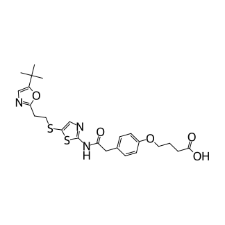 CC(C)(C)c1cnc(CCSc2cnc(NC(=O)Cc3ccc(OCCCC(=O)O)cc3)s2)o1